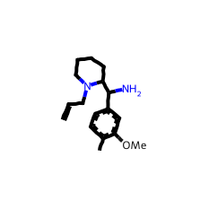 C=CCN1CCCCC1C(N)c1ccc(C)c(OC)c1